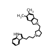 Cc1cc2c(cc1C)CN(CC1CCN(CCCc3c[nH]c4ccccc34)C1)C2